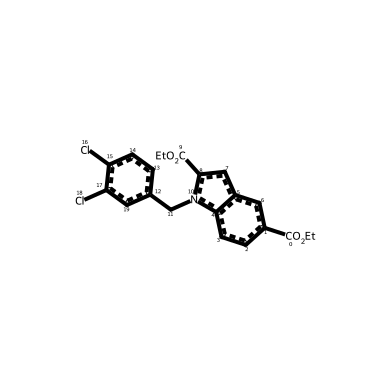 CCOC(=O)c1ccc2c(c1)cc(C(=O)OCC)n2Cc1ccc(Cl)c(Cl)c1